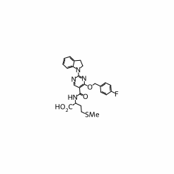 CSCC[C@H](NC(=O)c1cnc(N2CCc3ccccc32)nc1OCc1ccc(F)cc1)C(=O)O